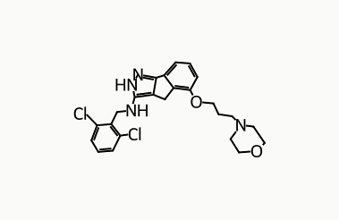 Clc1cccc(Cl)c1CNc1[nH]nc2c1Cc1c(OCCCN3CCOCC3)cccc1-2